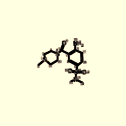 CN1CCN(C(=O)c2cc(S(=O)(=O)N(C)C)ccc2N)CC1